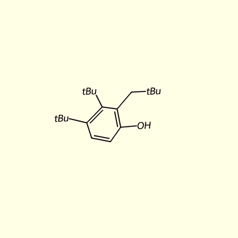 CC(C)(C)Cc1c(O)ccc(C(C)(C)C)c1C(C)(C)C